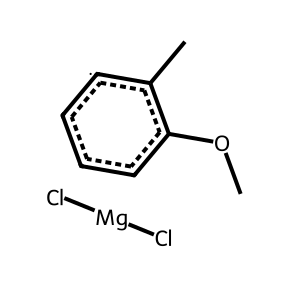 COc1ccc[c]c1C.[Cl][Mg][Cl]